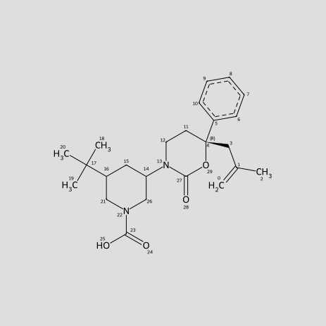 C=C(C)C[C@]1(c2ccccc2)CCN(C2CC(C(C)(C)C)CN(C(=O)O)C2)C(=O)O1